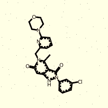 Cc1c2c(=O)n(-c3cccc(Cl)c3)[nH]c2cc(=O)n1Cc1cccc(N2CCOCC2)n1